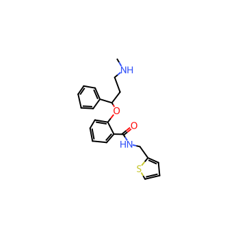 CNCCC(Oc1ccccc1C(=O)NCc1cccs1)c1ccccc1